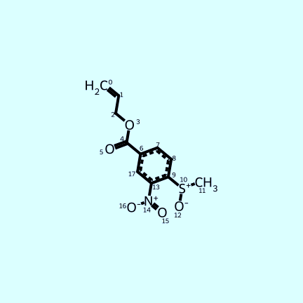 C=CCOC(=O)c1ccc([S+](C)[O-])c([N+](=O)[O-])c1